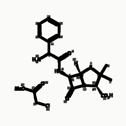 CC1(C)S[C@@H]2[C@H](NC(=O)C(N)c3ccccc3)C(=O)N2[C@H]1C(=O)O.COC(=O)CCl